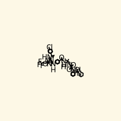 CC(C)(CNC(=O)C(=O)Nc1ccccc1C(=O)N1CCCCC1)CNC(=O)c1ccc(Nc2nc(NC3(c4ccc(Cl)cc4)CC3)nc(OCC(F)(F)F)n2)cc1